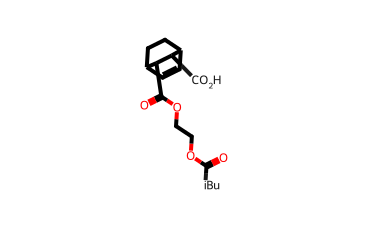 CCC(C)C(=O)OCCOC(=O)C1C2C=CC(CC2)C1C(=O)O